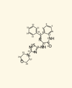 O=C1Nc2ccccc2C(c2ccccc2)=NC1Nc1nc(N2CCOCC2)ns1